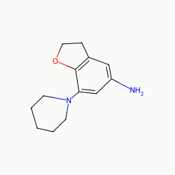 Nc1cc2c(c(N3CCCCC3)c1)OCC2